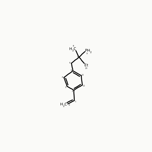 C=Cc1ccc(CC(C)(P)CC)cc1